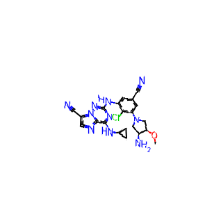 CO[C@@H]1CN(c2cc(C#N)cc(Nc3nc(NC4CC4)c4ncc(C#N)n4n3)c2Cl)C[C@@H]1N